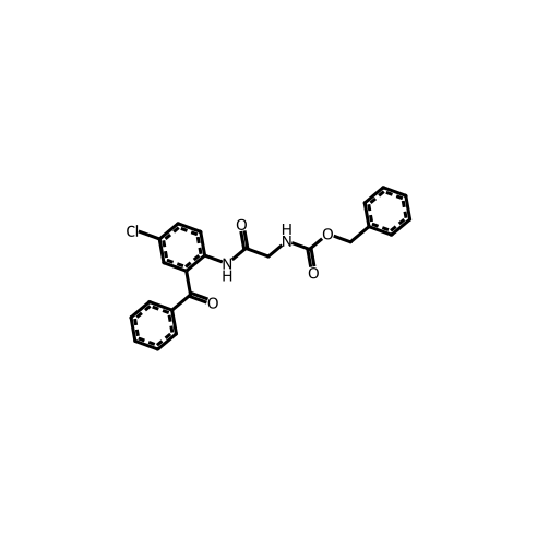 O=C(CNC(=O)OCc1ccccc1)Nc1ccc(Cl)cc1C(=O)c1ccccc1